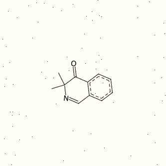 CC1(C)N=Cc2ccccc2C1=O